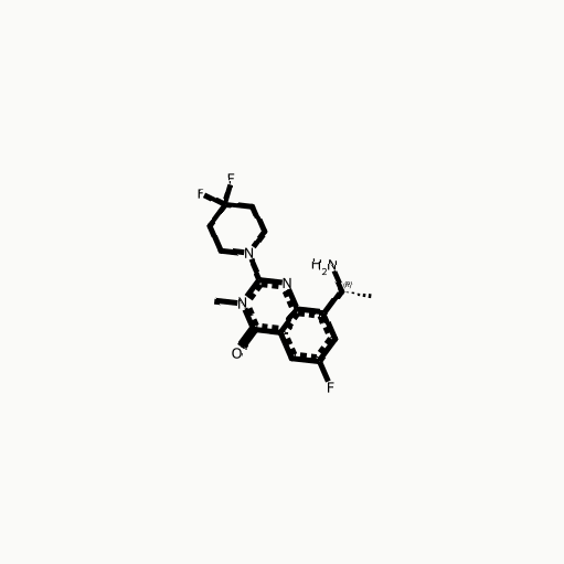 C[C@@H](N)c1cc(F)cc2c(=O)n(C)c(N3CCC(F)(F)CC3)nc12